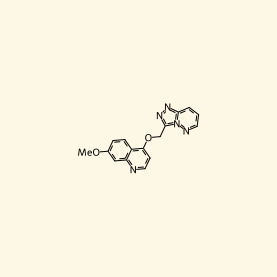 COc1ccc2c(OCc3nnc4cccnn34)ccnc2c1